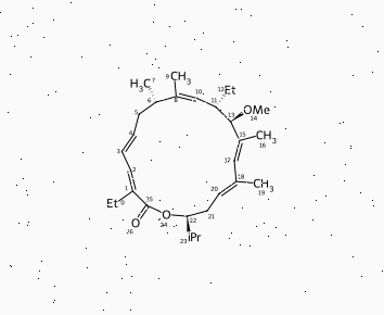 CC/C1=C\C=C\C[C@H](C)/C(C)=C\[C@H](CC)[C@@H](OC)/C(C)=C/C(C)=C/C[C@@H](C(C)C)OC1=O